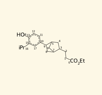 CCOC(=O)CCC1CC2CC1CC2c1ccc(O)c(C(C)C)c1